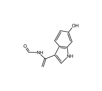 C=C(NC=O)c1c[nH]c2cc(O)ccc12